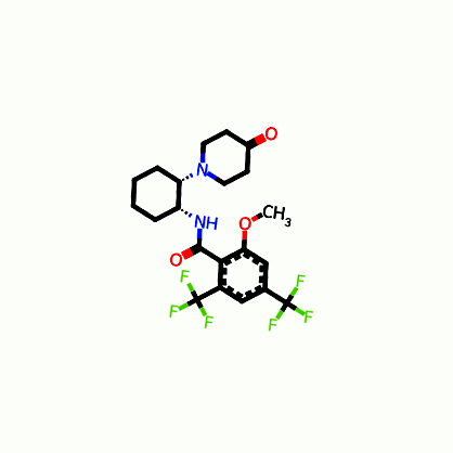 COc1cc(C(F)(F)F)cc(C(F)(F)F)c1C(=O)N[C@@H]1CCCC[C@@H]1N1CCC(=O)CC1